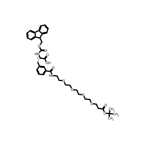 CC(C)(C)OC(=O)CCOCCOCCOCCOCCNC(=O)c1cccc(C[C@H](NC(=O)OCC2c3ccccc3-c3ccccc32)C(=O)O)c1